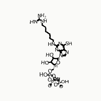 N=C(N)NCCCCCCNc1nc(S)c2ncn([C@@H]3O[C@H](COP(=O)(O)OP(=O)(O)OP(=O)(O)O)C(O)C3O)c2n1